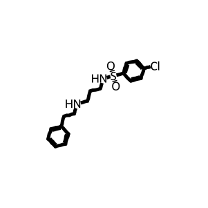 O=S(=O)(NCCCNCCc1ccccc1)c1ccc(Cl)cc1